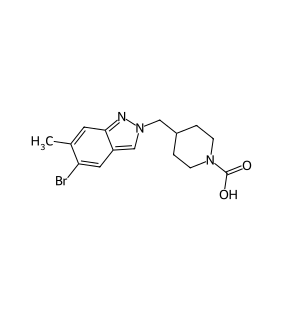 Cc1cc2nn(CC3CCN(C(=O)O)CC3)cc2cc1Br